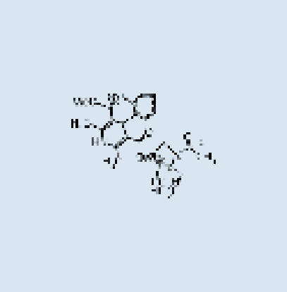 C=C(C)[C@H]1CN[C@H](C(=O)O)[C@H]1CC(=O)O.COC(=O)C1=C(C)NC(C)=C(C(=O)OC)C1c1ccccc1[N+](=O)[O-]